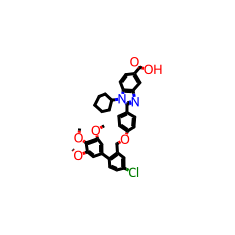 COc1cc(-c2ccc(Cl)cc2COc2ccc(-c3nc4cc(C(=O)O)ccc4n3C3CCCCC3)cc2)cc(OC)c1OC